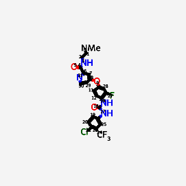 CNCCNC(=O)c1cc(Oc2ccc(NC(=O)Nc3ccc(Cl)c(C(F)(F)F)c3)c(F)c2)ccn1